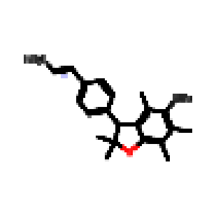 CCOC(=O)/C=C/c1ccc(C2c3c(C)c(OC)c(C)c(C)c3OC2(C)C)cc1